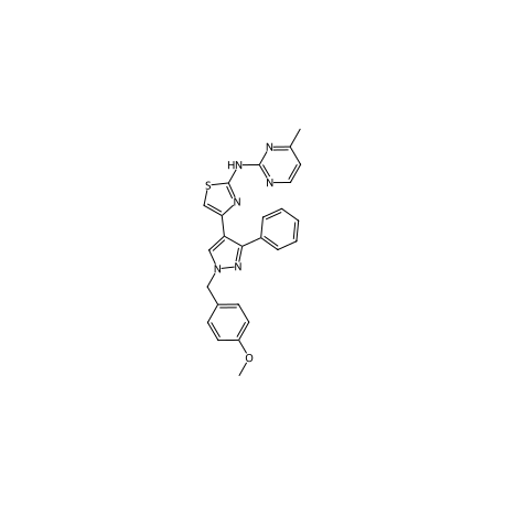 COc1ccc(Cn2cc(-c3csc(Nc4nccc(C)n4)n3)c(-c3ccccc3)n2)cc1